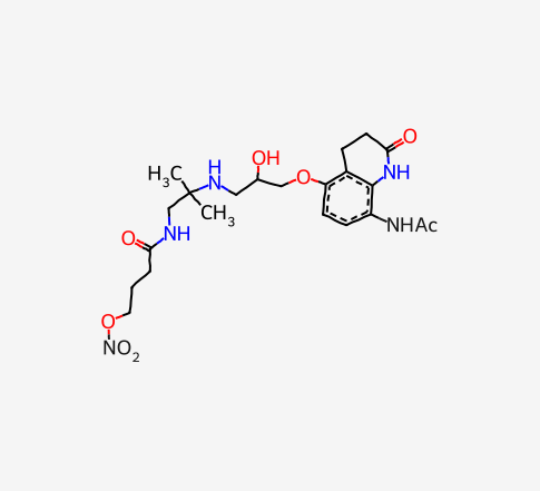 CC(=O)Nc1ccc(OCC(O)CNC(C)(C)CNC(=O)CCCO[N+](=O)[O-])c2c1NC(=O)CC2